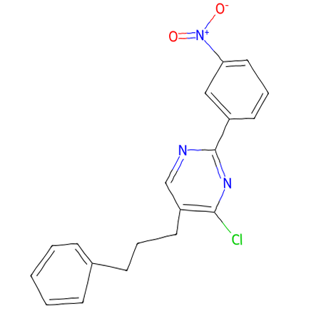 O=[N+]([O-])c1cccc(-c2ncc(CCCc3ccccc3)c(Cl)n2)c1